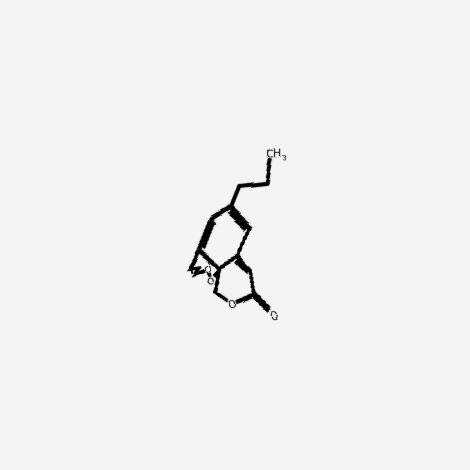 CCCC1=CC2=CC(=O)OCC23OOCC=CC3=C1